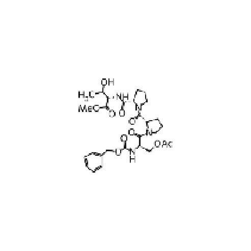 COC(=O)[C@@H](NC(=O)[C@@H]1CCCN1C(=O)[C@@H]1CCCN1C(=O)[C@@H](COC(C)=O)NC(=O)OCc1ccccc1)[C@@H](C)O